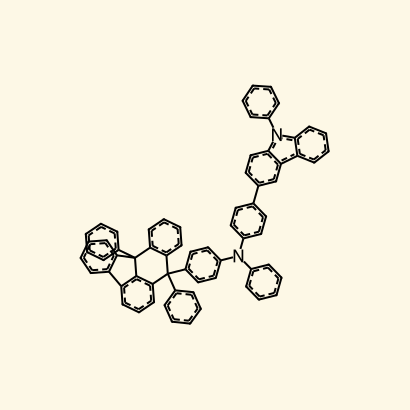 c1ccc(N(c2ccc(-c3ccc4c(c3)c3ccccc3n4-c3ccccc3)cc2)c2ccc(C3(c4ccccc4)c4ccccc4C4(c5ccccc5)c5ccccc5-c5cccc3c54)cc2)cc1